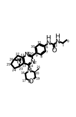 CCNC(=O)Nc1ccc(-c2nc3c(c(N4CCOC[C@@H]4C)n2)C2CCC(C3)N2C)cc1